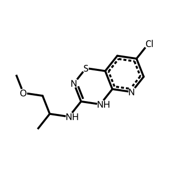 COCC(C)NC1=NSc2cc(Cl)cnc2N1